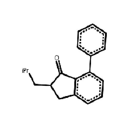 CC(C)CC1Cc2cccc(-c3ccccc3)c2C1=O